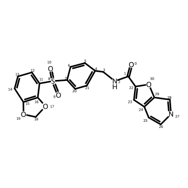 O=C(NCc1ccc(S(=O)(=O)c2cccc3c2OCO3)cc1)c1cc2ccncc2o1